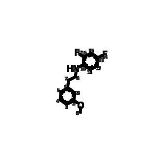 COc1cccc(CCNc2ccc(F)cc2F)c1